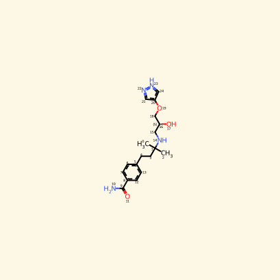 CC(C)(CCc1ccc(C(N)=O)cc1)NC[C@H](O)COc1cn[nH]c1